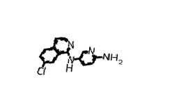 Nc1ccc(Nc2nccc3ccc(Cl)cc23)cn1